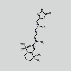 CNS(=O)(=O)C1=C(/C=C/C(C)=C/C=C/C(C)=C/c2n[nH]c(=O)s2)C(C)(C)CCC1